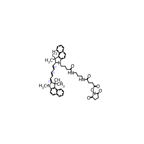 CN1/C(=C/C=C/C=C/C2N(CCCC(=O)NCCCNC(=O)CCC(=O)ON3C(=O)CCC3=O)c3ccc4ccccc4c3C2(C)C)C(C)(C)c2c1ccc1ccccc21